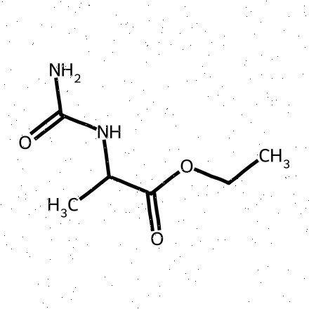 CCOC(=O)C(C)NC(N)=O